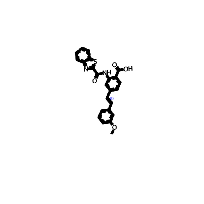 COc1cccc(/C=C/c2ccc(C(=O)O)c(NC(=O)c3nc4ccccc4s3)c2)c1